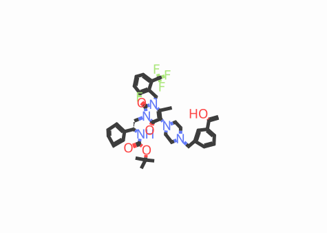 C=C(O)c1cccc(CN2CCN(c3c(C)n(Cc4c(F)cccc4C(F)(F)F)c(=O)n(C[C@H](NC(=O)OC(C)(C)C)c4ccccc4)c3=O)CC2)c1